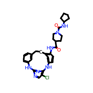 O=C(Nc1ccc2cc1CCc1cccc(c1)Nc1ncc(Cl)c(n1)N2)C1CCN(C(=O)NC2CCCC2)CC1